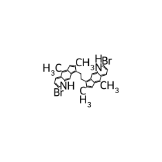 Cc1cc2c(C)c3ccc(Br)[nH]c3cc2c1CCc1c(C)cc2c(C)c3ccc(Br)[nH]c3cc12